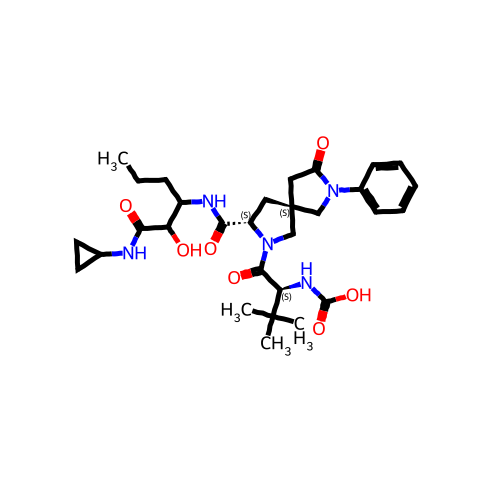 CCCC(NC(=O)[C@@H]1C[C@]2(CC(=O)N(c3ccccc3)C2)CN1C(=O)[C@@H](NC(=O)O)C(C)(C)C)C(O)C(=O)NC1CC1